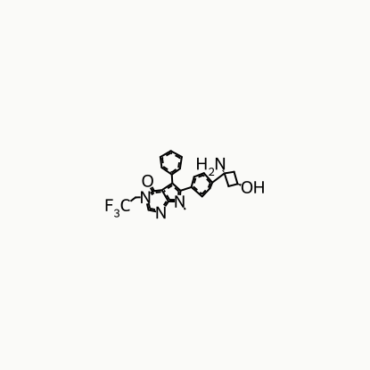 Cn1c(-c2ccc([C@]3(N)C[C@H](O)C3)cc2)c(-c2ccccc2)c2c(=O)n(CC(F)(F)F)cnc21